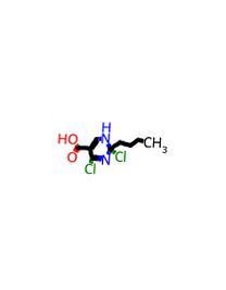 CCCCC1(Cl)N=C(Cl)C(C(=O)O)=CN1